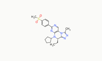 CC[C@@H]1c2nnc(C)n2-c2cnc(-c3ccc(S(C)(=O)=O)cc3)nc2N1C1CCCC1